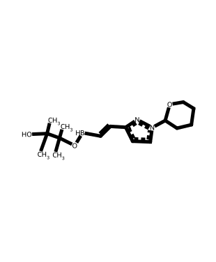 CC(C)(O)C(C)(C)OB/C=C/c1ccn(C2CCCCO2)n1